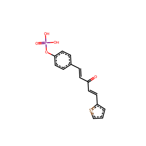 O=C(/C=C/c1ccc(OP(=O)(O)O)cc1)/C=C/c1cccs1